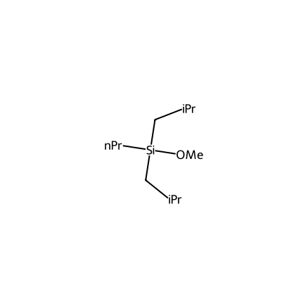 CCC[Si](CC(C)C)(CC(C)C)OC